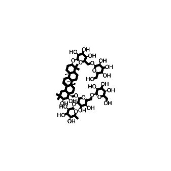 CC1O[C@@H](O[C@H]2C(O)[C@H](O)C(CO[C@@H]3OC(CO)[C@@H](O)C(O)[C@@H]3O)O[C@H]2OC[C@@]23CC[C@]4(C)C(=CCC5[C@@]6(C)CC[C@H](O[C@@H]7OC(CO[C@@H]8OC(CO)[C@@H](O)C(O)[C@@H]8O)[C@@H](O)C(O)[C@@H]7O)C(C)(C)C6CC[C@]54C)C2CC(C)(C)[C@@H](O)[C@@H]3O)[C@@H](O)C(O)[C@H]1O